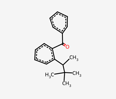 CC(c1ccccc1C(=O)c1ccccc1)C(C)(C)C